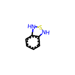 c1ccc2c(c1)NSN2